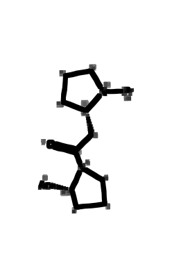 CC(=O)[C@H]1CCCN1C(=O)C[C@@H]1CCCN1C(C)C